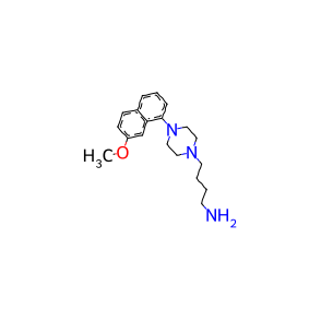 COc1ccc2cccc(N3CCN(CCCCN)CC3)c2c1